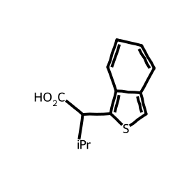 CC(C)C(C(=O)O)c1scc2ccccc12